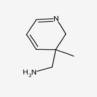 CC1(CN)C=CC=NC1